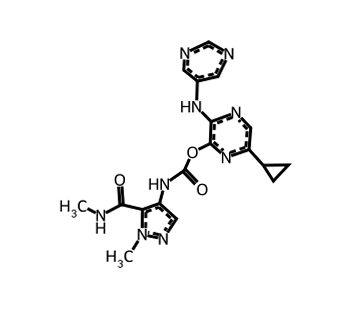 CNC(=O)c1c(NC(=O)Oc2nc(C3CC3)cnc2Nc2cncnc2)cnn1C